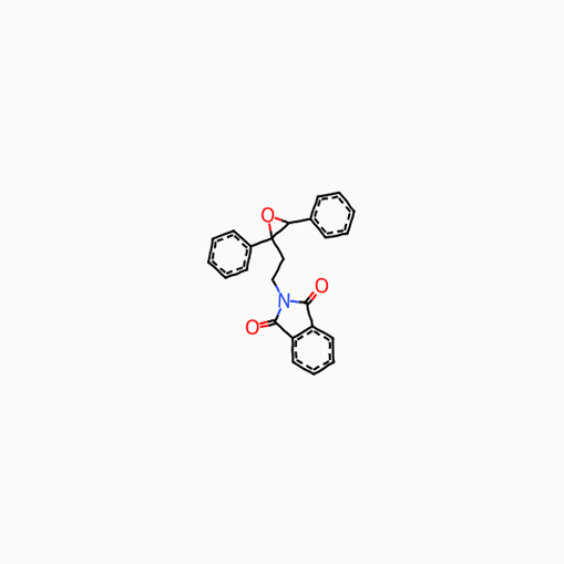 O=C1c2ccccc2C(=O)N1CCC1(c2ccccc2)OC1c1ccccc1